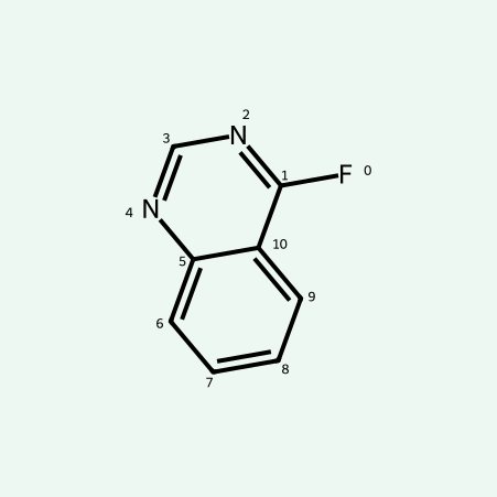 Fc1ncnc2ccccc12